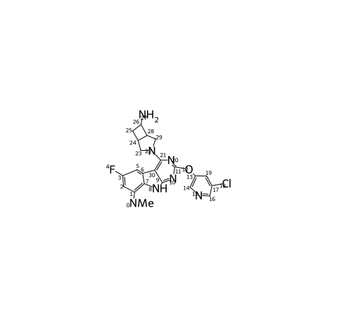 CNc1cc(F)cc2c1[nH]c1nc(Oc3cncc(Cl)c3)nc(N3CC4CC(N)C4C3)c12